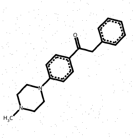 CN1CCN(c2ccc(C(=O)Cc3ccccc3)cc2)CC1